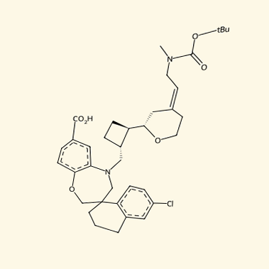 CN(C/C=C1/CCO[C@H]([C@@H]2CC[C@H]2CN2CC3(CCCc4cc(Cl)ccc43)COc3ccc(C(=O)O)cc32)C1)C(=O)OC(C)(C)C